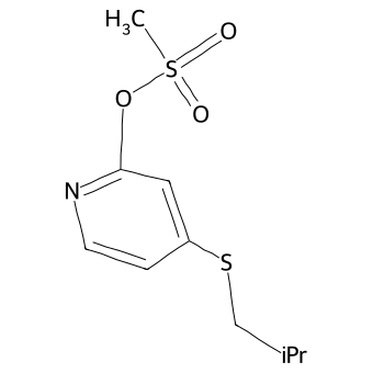 CC(C)CSc1ccnc(OS(C)(=O)=O)c1